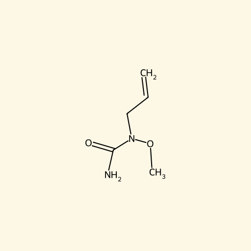 C=CCN(OC)C(N)=O